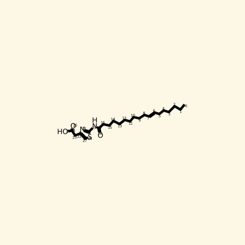 CCCCCCC=CCCCCCCCCCC(=O)Nc1nc(CC(=O)O)cs1